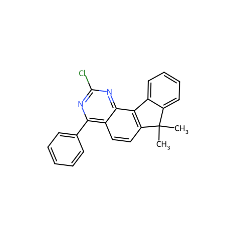 CC1(C)c2ccccc2-c2c1ccc1c(-c3ccccc3)nc(Cl)nc21